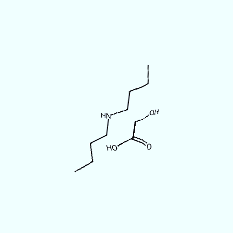 CCCCNCCCC.O=C(O)CO